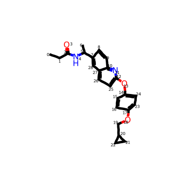 CCC(=O)NC(C)c1ccc2nc(Oc3ccc(OCC4CC4)cc3)ccc2c1